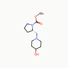 CC(C)(C)OC(=O)N1CCC[C@H]1CN1CCC(O)CC1